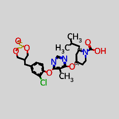 Cc1c(Oc2ccc(CC3COS(=O)OC3)cc2Cl)ncnc1O[C@H]1CCN(C(=O)O)[C@H](CC(C)C)C1